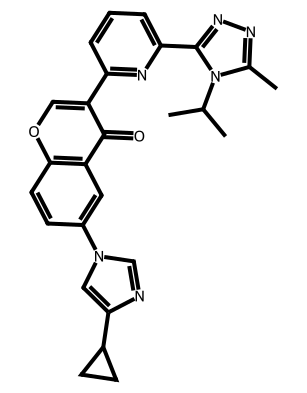 Cc1nnc(-c2cccc(-c3coc4ccc(-n5cnc(C6CC6)c5)cc4c3=O)n2)n1C(C)C